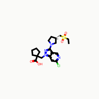 CCS(=O)(=O)C[C@H]1CCN(c2nn(CC3(C(=O)O)CCCC3)c3cc(Cl)ncc23)C1